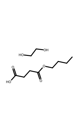 CCCCOC(=O)CCC(=O)O.OCCO